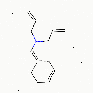 C=CCN(C=C1CC=CCC1)CC=C